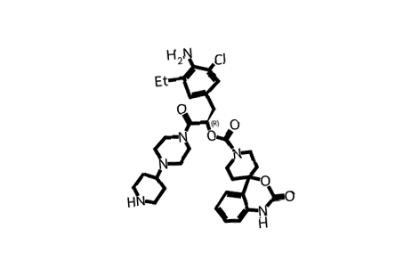 CCc1cc(C[C@@H](OC(=O)N2CCC3(CC2)OC(=O)Nc2ccccc23)C(=O)N2CCN(C3CCNCC3)CC2)cc(Cl)c1N